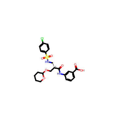 O=C(O)c1cccc(NC(=O)[C@@H](CNS(=O)(=O)c2ccc(Cl)cc2)COC2CCCCO2)c1